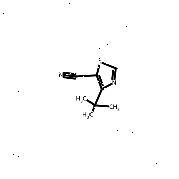 CC(C)(C)c1n[c]sc1C#N